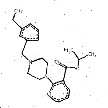 CC(C)OC(=O)c1cccnc1N1CCN(Cc2cccc(CO)c2)CC1